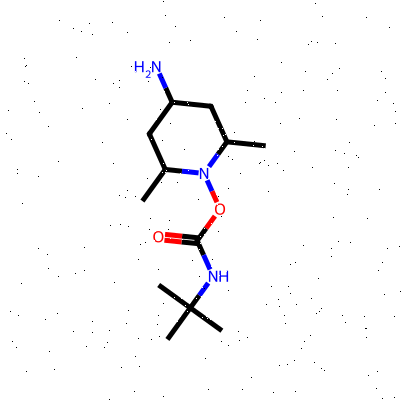 CC1CC(N)CC(C)N1OC(=O)NC(C)(C)C